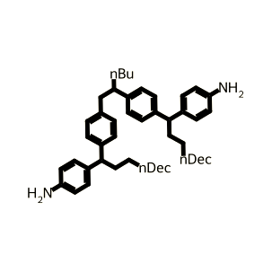 CCCCCCCCCCCCC(c1ccc(N)cc1)c1ccc(CC(CCCC)c2ccc(C(CCCCCCCCCCCC)c3ccc(N)cc3)cc2)cc1